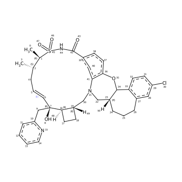 C[C@@H]1[C@@H](C)C/C=C/[C@@](O)(Cc2ccccn2)[C@@H]2CC[C@H]2CN2C[C@H]3CCCc4cc(Cl)ccc4C3Oc3ccc(cc32)C(=O)NS1(=O)=O